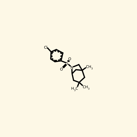 CC1(C)CC2CC(C)(CN2S(=O)(=O)c2ccc(Cl)cc2)C1